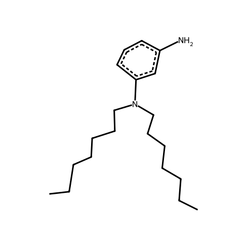 CCCCCCCN(CCCCCCC)c1cccc(N)c1